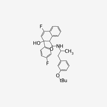 CC(Cc1cccc(OC(C)(C)C)c1)NC(=O)C1c2ccccc2C(F)=CC1(O)c1ccc(F)cc1